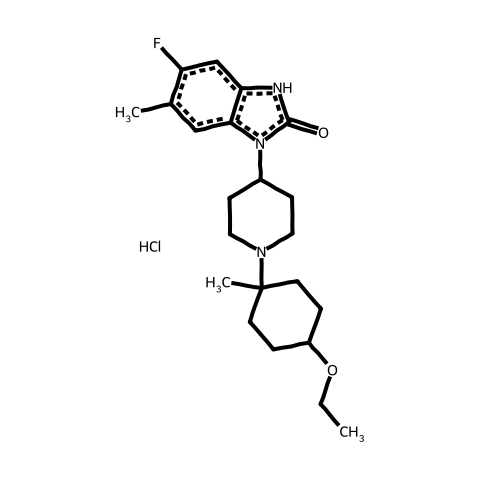 CCOC1CCC(C)(N2CCC(n3c(=O)[nH]c4cc(F)c(C)cc43)CC2)CC1.Cl